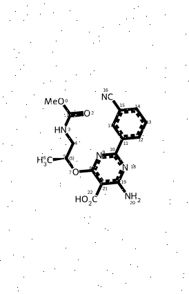 COC(=O)NC[C@H](C)Oc1nc(-c2cccc(C#N)c2)nc(N)c1C(=O)O